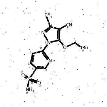 CC(C)(C)COc1c(C#N)c(C(F)(F)F)nn1-c1ccc(S(N)(=O)=O)cn1